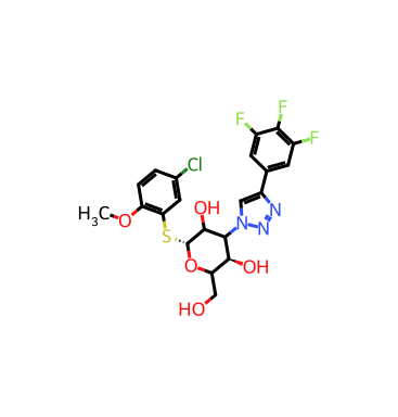 COc1ccc(Cl)cc1S[C@H]1OC(CO)[C@H](O)C(n2cc(-c3cc(F)c(F)c(F)c3)nn2)C1O